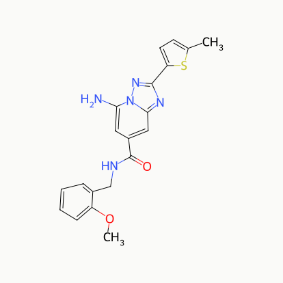 COc1ccccc1CNC(=O)c1cc(N)n2nc(-c3ccc(C)s3)nc2c1